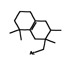 CC(=O)CC1(C)CC2=C(CCCC2(C)C)CC1C